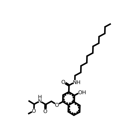 CCCCCCCCCCCCNC(=O)c1cc(OCC(=O)NC(C)OC)c2ccccc2c1O